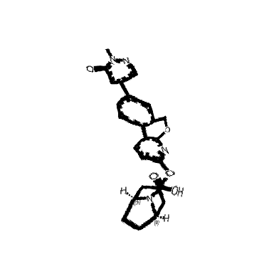 Cn1ncc(-c2ccc3c(c2)COc2nc(OC4C[C@H]5CC[C@@H](C4)N5C(=O)O)ccc2-3)cc1=O